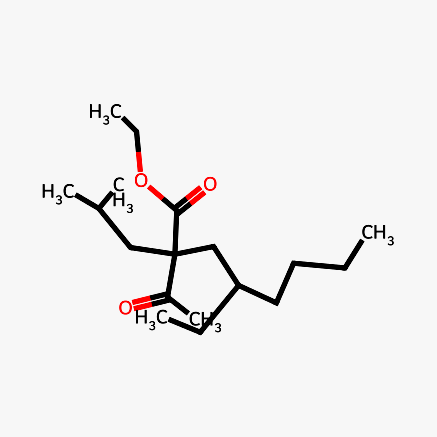 CCCCC(CC)CC(CC(C)C)(C(C)=O)C(=O)OCC